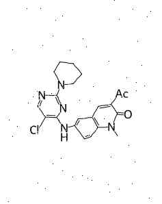 CC(=O)c1cc2cc(Nc3nc(N4CCCCC4)ncc3Cl)ccc2n(C)c1=O